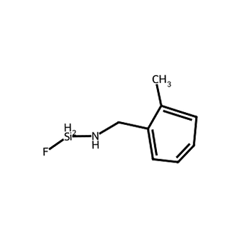 Cc1ccccc1CN[SiH2]F